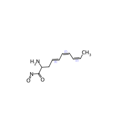 C\C=C/C=C\C=C\CC(N)C(=O)N=O